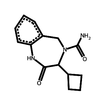 NC(=O)N1Cc2ccccc2NC(=O)C1C1CCC1